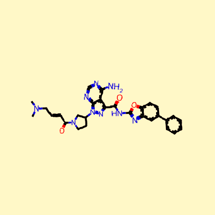 CN(C)CC=CC(=O)N1CCC(n2nc(C(=O)Nc3nc4cc(-c5ccccc5)ccc4o3)c3c(N)ncnc32)C1